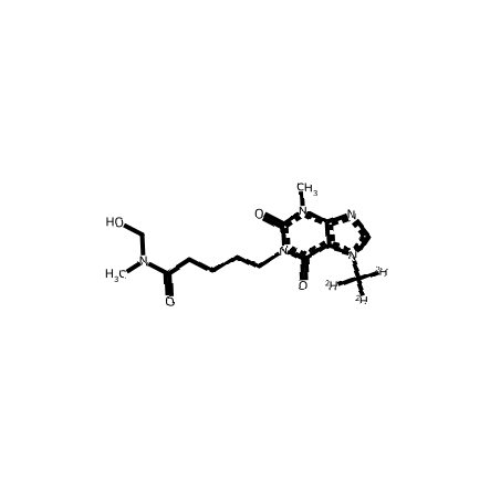 [2H]C([2H])([2H])n1cnc2c1c(=O)n(CCCCC(=O)N(C)CO)c(=O)n2C